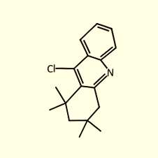 CC1(C)Cc2nc3ccccc3c(Cl)c2C(C)(C)C1